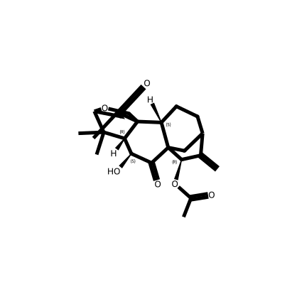 C=C1C2CC[C@@H]3C(C2)(C(=O)[C@@H](O)[C@@H]2C(C)(C)C4CC(=O)C32CO4)[C@@H]1OC(C)=O